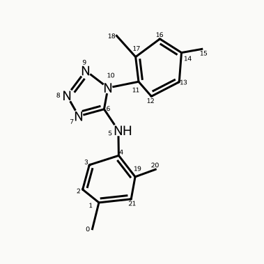 Cc1ccc(Nc2nnnn2-c2ccc(C)cc2C)c(C)c1